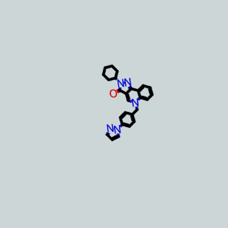 O=c1c2cn(Cc3ccc(-n4cccn4)cc3)c3ccccc3c-2nn1C1CCCCC1